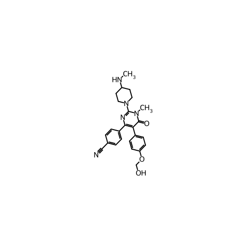 CNC1CCN(c2nc(-c3ccc(C#N)cc3)c(-c3ccc(OCO)cc3)c(=O)n2C)CC1